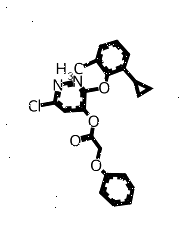 Cc1cccc(C2CC2)c1Oc1nnc(Cl)cc1OC(=O)COc1ccccc1